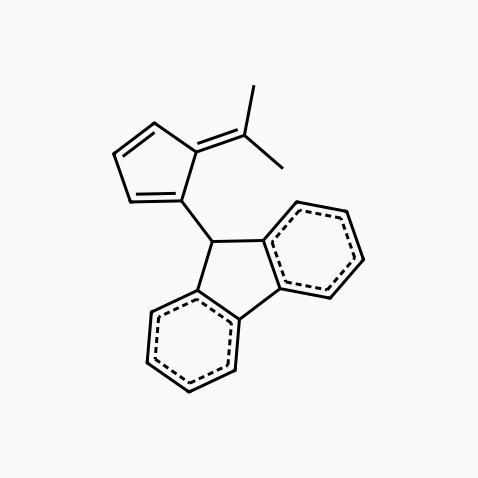 CC(C)=C1C=CC=C1C1c2ccccc2-c2ccccc21